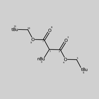 CCCCC(C(=O)OCC(C)(C)C)C(=O)OCC(C)(C)C